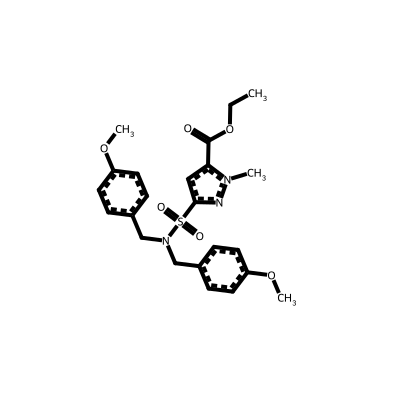 CCOC(=O)c1cc(S(=O)(=O)N(Cc2ccc(OC)cc2)Cc2ccc(OC)cc2)nn1C